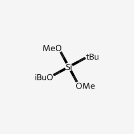 CO[Si](OC)(OCC(C)C)C(C)(C)C